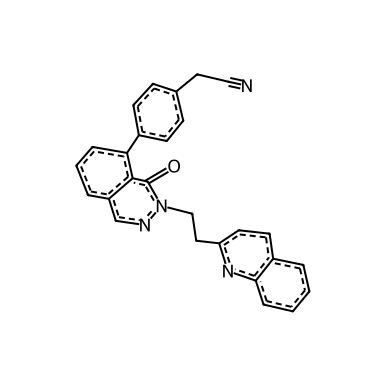 N#CCc1ccc(-c2cccc3cnn(CCc4ccc5ccccc5n4)c(=O)c23)cc1